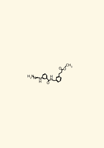 CCOC(=O)CCc1cccc(CNC(=O)c2cccc(NC=NN)c2)c1